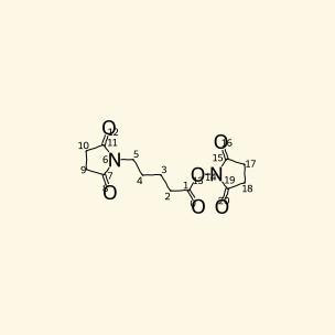 O=C(CCCCN1C(=O)CCC1=O)ON1C(=O)CCC1=O